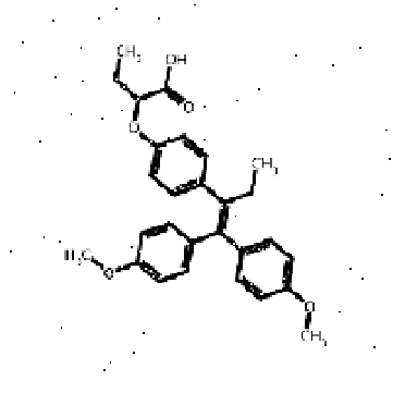 CCC(=C(c1ccc(OC)cc1)c1ccc(OC)cc1)c1ccc(OC(CC)C(=O)O)cc1